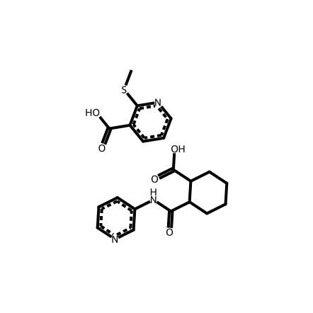 CSc1ncccc1C(=O)O.O=C(O)C1CCCCC1C(=O)Nc1cccnc1